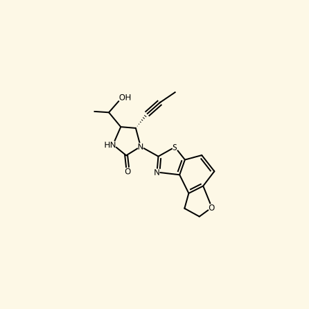 CC#C[C@H]1C(C(C)O)NC(=O)N1c1nc2c3c(ccc2s1)OCC3